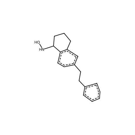 ONC1CCCc2cc(CCc3ccccc3)ccc21